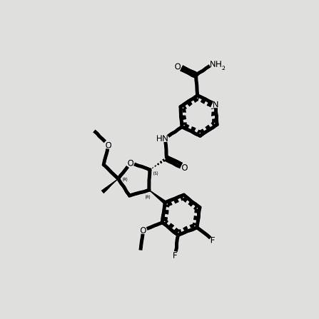 COC[C@@]1(C)C[C@H](c2ccc(F)c(F)c2OC)[C@@H](C(=O)Nc2ccnc(C(N)=O)c2)O1